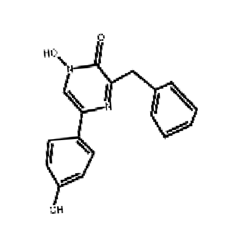 O=c1c(Cc2ccccc2)nc(-c2ccc(O)cc2)cn1O